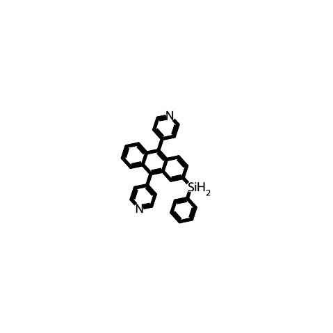 c1ccc([SiH2]c2ccc3c(-c4ccncc4)c4ccccc4c(-c4ccncc4)c3c2)cc1